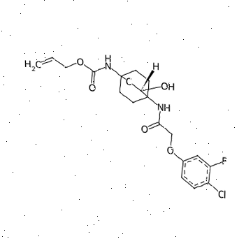 C=CCOC(=O)NC12CCC(NC(=O)COc3ccc(Cl)c(F)c3)(CC1)[C@@H](O)C2